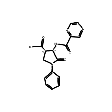 O=C(N[C@H]1C(=O)N(c2ccccc2)C[C@H]1C(=O)O)c1cnccn1